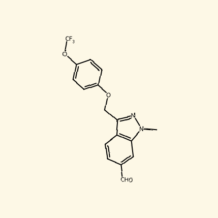 Cn1nc(COc2ccc(OC(F)(F)F)cc2)c2ccc(C=O)cc21